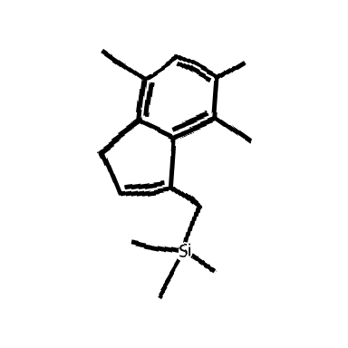 Cc1cc(C)c2c(c1C)C(C[Si](C)(C)C)=CC2